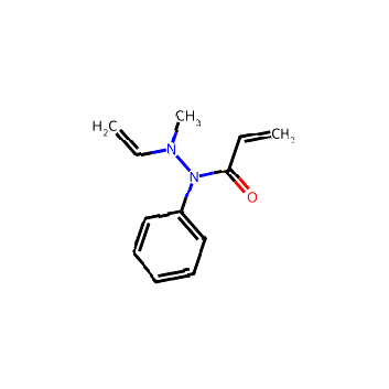 C=CC(=O)N(c1ccccc1)N(C)C=C